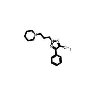 Cc1nn(CCCN2CCCCC2)nc1-c1ccccc1